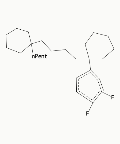 CCCCCC1(CCCCC2(c3ccc(F)c(F)c3)CCCCC2)CCCCC1